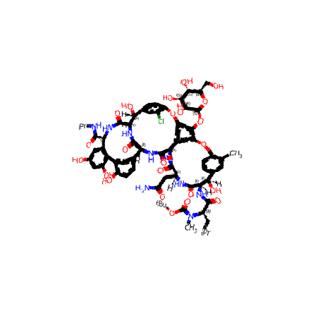 Cc1cc2ccc1Oc1cc3cc(c1O[C@@H]1O[C@H](CO)[C@@H](O)[C@H](O)[C@H]1O)Oc1ccc(cc1Cl)[C@@H](O)[C@@H]1NC(=O)[C@H](NC(=O)[C@@H]3NC(=O)[C@H](CC(N)=O)NC(=O)[C@H](NC(=O)[C@@H](CC(C)C)N(C)C(=O)OC(C)(C)C)[C@@H]2O)c2ccc(O)c(c2)-c2c(O)cc(O)cc2[C@@H](C(=O)NC(C)C)NC1=O